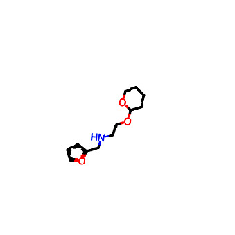 c1coc(CNCCOC2CCCCO2)c1